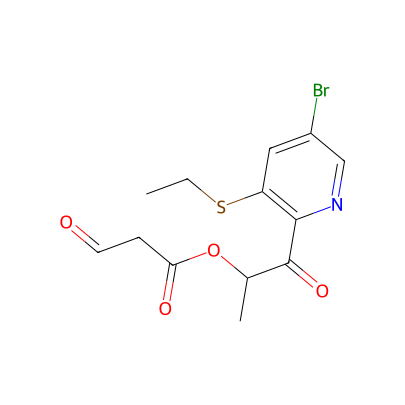 CCSc1cc(Br)cnc1C(=O)C(C)OC(=O)CC=O